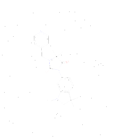 CC(=O)N1CC(C)(C)c2ccc(N3C(=O)N(Cc4ccncc4)C(C)(C)C3=O)cc21